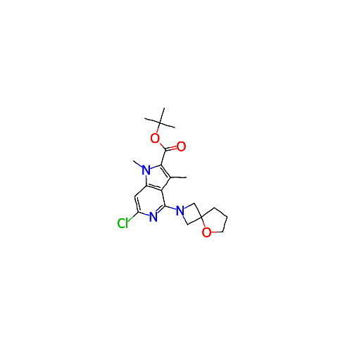 Cc1c(C(=O)OC(C)(C)C)n(C)c2cc(Cl)nc(N3CC4(CCCO4)C3)c12